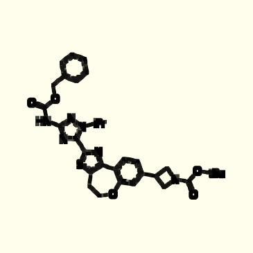 CC(C)n1nc(NC(=O)OCc2ccccc2)nc1-c1nc2c(s1)CCOc1cc(C3CN(C(=O)OC(C)(C)C)C3)ccc1-2